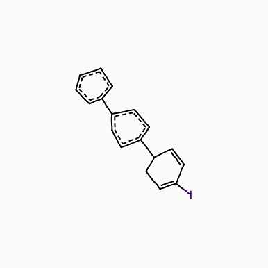 IC1=CCC(c2ccc(-c3ccccc3)cc2)C=C1